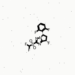 O=S(=O)(c1nc2n(n1)[C@H](c1c(F)cccc1F)C[C@@H]2F)C(F)F